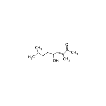 CC(=O)/C(C)=C/C(O)CCC(C)C